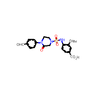 COc1cc(C(=O)O)ccc1NS(=O)(=O)N1CCN(c2ccc(C=O)cc2)C(=O)C1